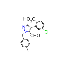 Cc1ccc(Cn2ncc(-c3cc(Cl)ccc3C(=O)O)c2C=O)cc1